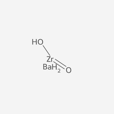 [BaH2].[O]=[Zr][OH]